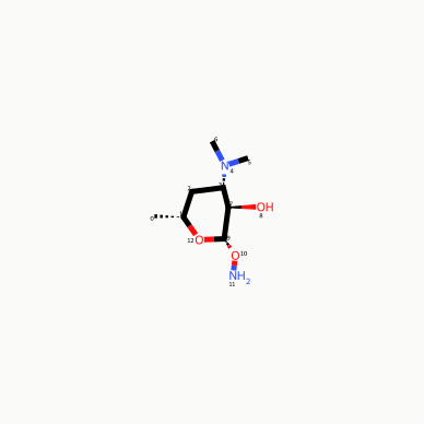 C[C@@H]1C[C@H](N(C)C)[C@@H](O)[C@H](ON)O1